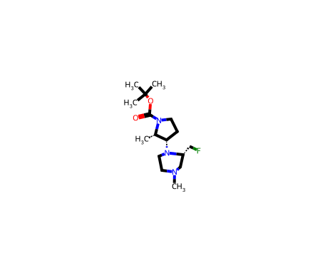 C[C@H]1[C@@H](N2CCN(C)C[C@H]2CF)CCN1C(=O)OC(C)(C)C